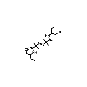 CCC(CO)NC(=O)C(C)(C)N=NC(C)(C)C(=O)NC(CC)CO